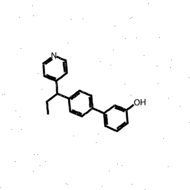 CCC(c1ccncc1)c1ccc(-c2cccc(O)c2)cc1